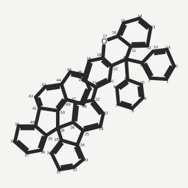 c1ccc(C2(c3ccccc3)c3ccccc3Oc3ccc(-c4ccc5c(c4)C4(c6ccccc6-5)c5ccccc5-c5ccc6ccccc6c54)cc32)cc1